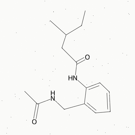 CCC(C)CC(=O)Nc1ccccc1CNC(C)=O